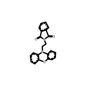 O=C1c2ccccc2C(=O)N1CCN1c2ccccc2Oc2ccccc21